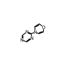 C1=CN(c2ncncn2)C=CO1